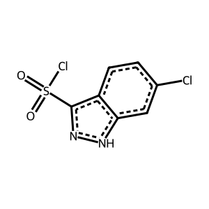 O=S(=O)(Cl)c1n[nH]c2cc(Cl)ccc12